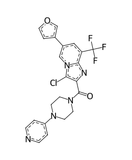 O=C(c1nc2c(C(F)(F)F)cc(-c3ccoc3)cn2c1Cl)N1CCN(c2ccncc2)CC1